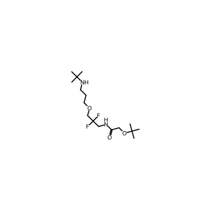 CC(C)(C)NCCCOCC(F)(F)CNC(=O)COC(C)(C)C